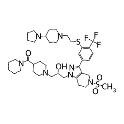 CS(=O)(=O)N1CCc2c(c(-c3ccc(C(F)(F)F)c(SCCN4CCC(N5CCCC5)CC4)c3)nn2CC(O)CN2CCC(C(=O)N3CCCCC3)CC2)C1